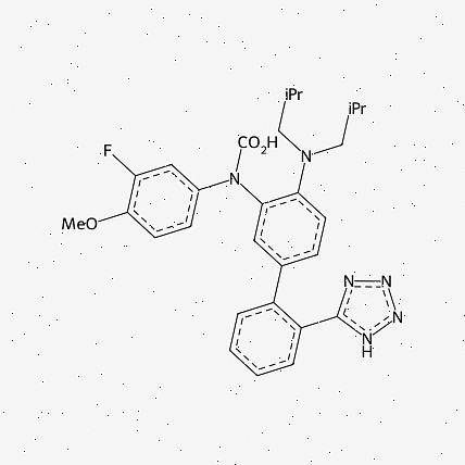 COc1ccc(N(C(=O)O)c2cc(-c3ccccc3-c3nnn[nH]3)ccc2N(CC(C)C)CC(C)C)cc1F